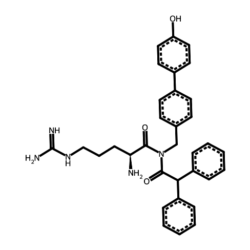 N=C(N)NCCC[C@H](N)C(=O)N(Cc1ccc(-c2ccc(O)cc2)cc1)C(=O)C(c1ccccc1)c1ccccc1